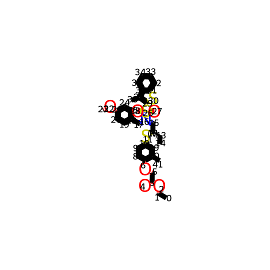 CCOC(=O)COc1ccc(S[C@H](CC)CN(Cc2ccc(OC)cc2)S(=O)(=O)c2sc3ccccc3c2C)cc1C